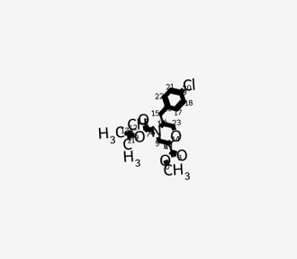 COC(=O)[C@H]1CN(C(=O)OC(C)(C)C)[C@@H](Cc2ccc(Cl)cc2)CO1